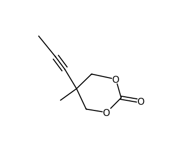 CC#CC1(C)COC(=O)OC1